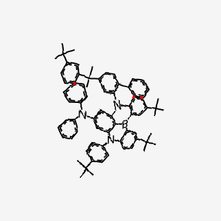 CC(C)(C)c1ccc(N2c3ccc(C(C)(C)C)cc3B3c4cc(C(C)(C)C)ccc4N(c4cc(C(C)(C)c5cccc(C(C)(C)C)c5)ccc4-c4ccccc4)c4cc(N(c5ccccc5)c5ccccc5)cc2c43)cc1